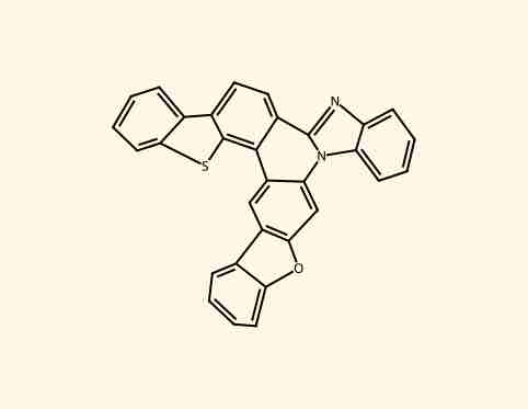 c1ccc2c(c1)nc1c3ccc4c5ccccc5sc4c3c3cc4c(cc3n21)oc1ccccc14